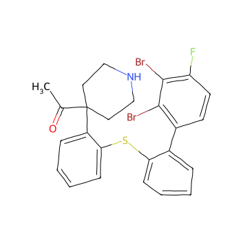 CC(=O)C1(c2ccccc2Sc2ccccc2-c2ccc(F)c(Br)c2Br)CCNCC1